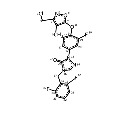 Cc1c(CCl)noc1Oc1ccc(-n2ncn(Cc3c(F)cccc3F)c2=O)cc1F